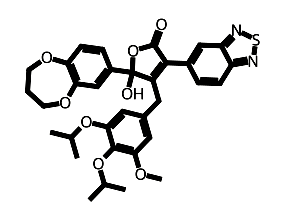 COc1cc(CC2=C(c3ccc4nsnc4c3)C(=O)OC2(O)c2ccc3c(c2)OCCCO3)cc(OC(C)C)c1OC(C)C